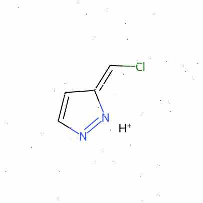 ClC=C1C=CN=N1.[H+]